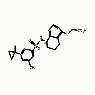 CC1(c2cc(C(F)(F)F)cc(S(=O)(=O)N[C@@H]3CCCc4c(OCC(=O)O)cccc43)c2)CC1